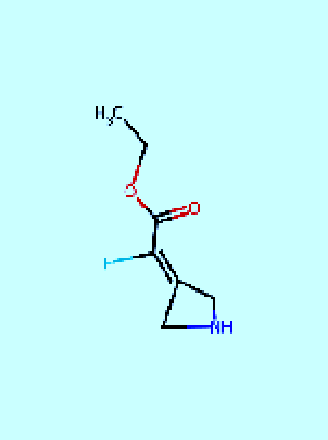 CCOC(=O)C(F)=C1CNC1